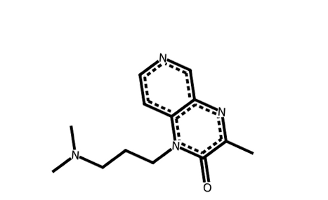 Cc1nc2cnccc2n(CCCN(C)C)c1=O